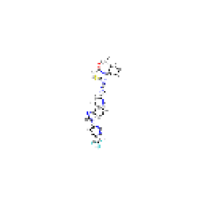 CC(C)c1ccccc1N1C(=O)CS/C1=N\N=C\c1ccc2c(ccc3c2ncn3-c2ccc(C(F)(F)F)nn2)n1